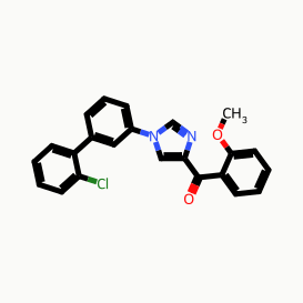 COc1ccccc1C(=O)c1cn(-c2cccc(-c3ccccc3Cl)c2)cn1